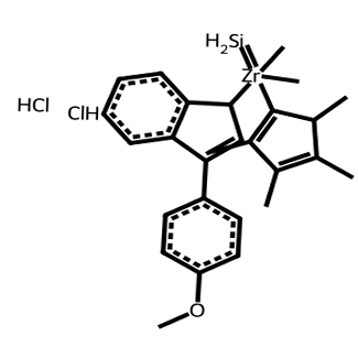 COc1ccc(C2=C[CH]([Zr]([CH3])([CH3])(=[SiH2])[C]3=C(C)C(C)=C(C)C3C)c3ccccc32)cc1.Cl.Cl